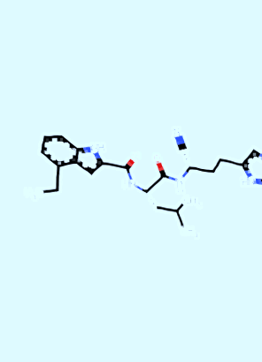 CCc1cccc2[nH]c(C(=O)N[C@@H](CC(C)C)C(=O)N[C@H](C#N)CCc3cnc[nH]3)cc12